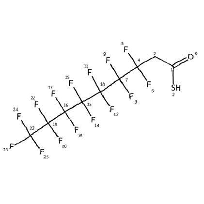 O=C(S)CC(F)(F)C(F)(F)C(F)(F)C(F)(F)C(F)(F)C(F)(F)C(F)(F)F